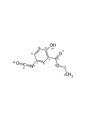 CCOC(=O)c1cc(N=C=O)ccc1O